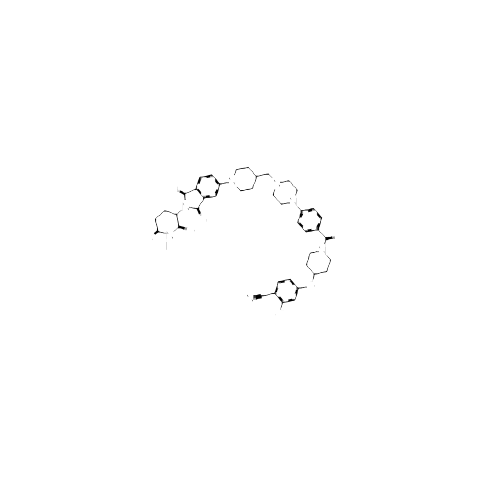 N#Cc1ccc(OC2CCN(C(=O)c3ccc(N4CCN(CC5CCN(c6ccc7c(c6)C(=O)N(C6CCC(=O)NC6=O)C7=O)CC5)CC4)cc3)CC2)cc1Cl